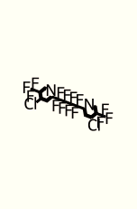 FC(F)(F)c1cnc(C(F)(F)C(F)(F)C(F)(F)C(F)(F)c2cc(Cl)c(C(F)(F)F)cn2)cc1Cl